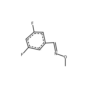 CON=Cc1[c]c(F)cc(F)c1